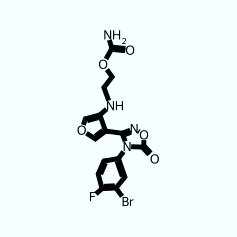 NC(=O)OCCNc1cocc1-c1noc(=O)n1-c1ccc(F)c(Br)c1